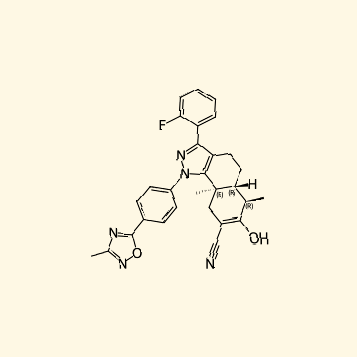 Cc1noc(-c2ccc(-n3nc(-c4ccccc4F)c4c3[C@]3(C)CC(C#N)=C(O)[C@H](C)[C@H]3CC4)cc2)n1